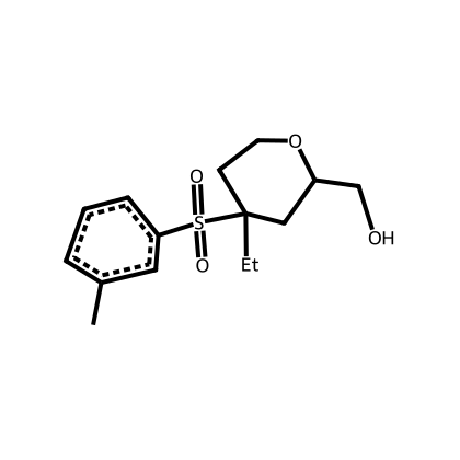 CCC1(S(=O)(=O)c2cccc(C)c2)CCOC(CO)C1